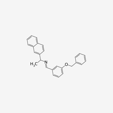 CC(N=Cc1cccc(OCc2ccccc2)c1)c1ccc2ccccc2c1